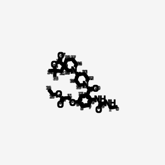 CCNC(=O)Nc1ccc(OCC(=O)OCC)cc1C(=O)N1CCC(N2CCCC3(C2)CC(C)(C)OC3=O)CC1